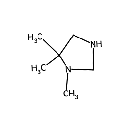 CN1CNCC1(C)C